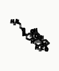 C[C@]12CC[C@H]3[C@@H](CC[C@@]4(O)CC(=NOCCN)CC[C@]34C)[C@@H]1CCC2=O